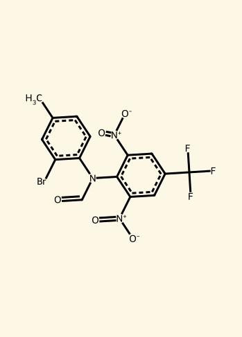 Cc1ccc(N(C=O)c2c([N+](=O)[O-])cc(C(F)(F)F)cc2[N+](=O)[O-])c(Br)c1